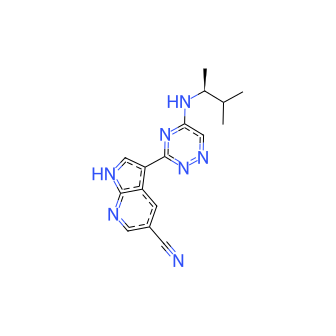 CC(C)[C@H](C)Nc1cnnc(-c2c[nH]c3ncc(C#N)cc23)n1